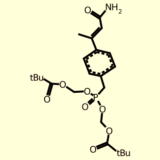 C/C(=C\C(N)=O)c1ccc(CP(=O)(OCOC(=O)C(C)(C)C)OCOC(=O)C(C)(C)C)cc1